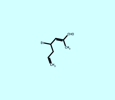 C=CCC(/C=C(\C)C=O)CC